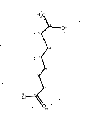 CC(O)CCCCCCC(=O)Cl